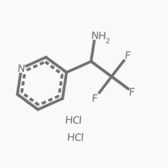 Cl.Cl.NC(c1cccnc1)C(F)(F)F